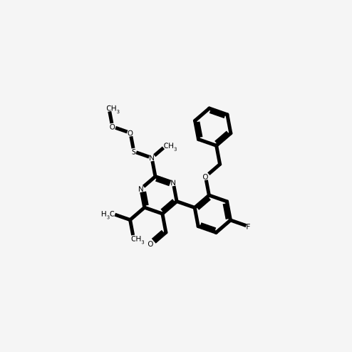 COOSN(C)c1nc(-c2ccc(F)cc2OCc2ccccc2)c(C=O)c(C(C)C)n1